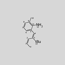 C/C=C\C(=C/c1cccc(C)c1N)C(C)(C)C